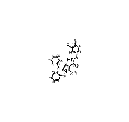 CC(C)c1c(C(=O)NCc2ccc(F)c(F)c2)cc(Cc2ccccc2)n1Cc1ccccc1